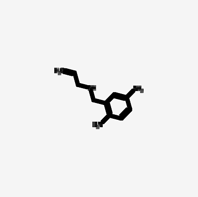 C=CCNCc1cc(N)ccc1N